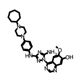 COc1cc2c(-n3nc(Nc4ccc(N5CCN(C6CCCCCC6)CC5)cc4)nc3N)ncnc2cc1O